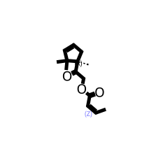 C/C=C\C(=O)OCC(=O)[C@]1(C)CC=CC1(C)C